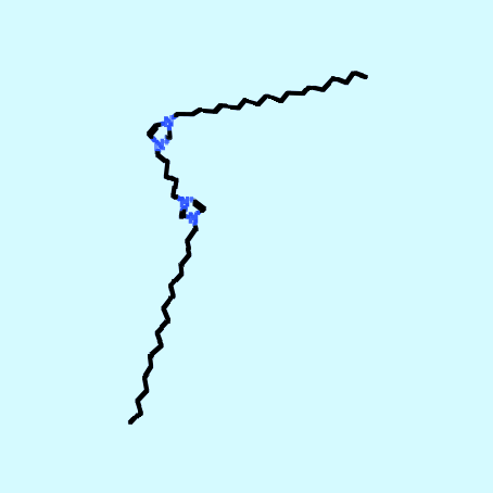 CCCCCCCCCCCCCCCCCCn1cc[n+](CCCCC[n+]2ccn(CCCCCCCCCCCCCCCCCC)c2)c1